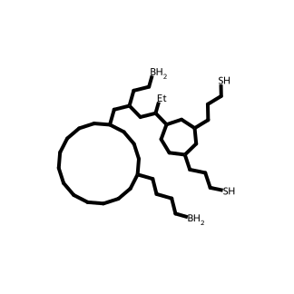 BCCCCC1CCCCCCCCCCCC(CC(CCB)CC(CC)C2CCC(CCCS)CC(CCCS)C2)CCC1